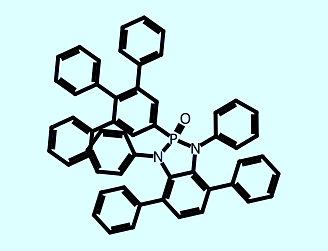 O=P1(c2cc(-c3ccccc3)c(-c3ccccc3)c(-c3ccccc3)c2)N(c2ccccc2)c2c(-c3ccccc3)ccc(-c3ccccc3)c2N1c1ccccc1